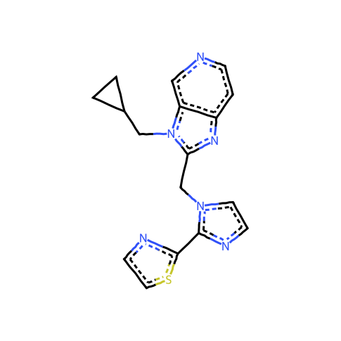 c1cc2nc(Cn3ccnc3-c3nccs3)n(CC3CC3)c2cn1